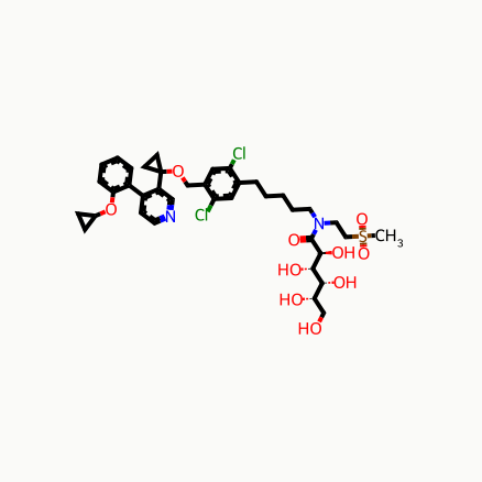 CS(=O)(=O)CCN(CCCCCc1cc(Cl)c(COC2(c3cnccc3-c3ccccc3OC3CC3)CC2)cc1Cl)C(=O)[C@@H](O)[C@@H](O)[C@H](O)[C@@H](O)CO